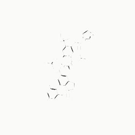 Cc1cc(F)cc(C)c1-c1cc([C@H](CC(=O)O)NC(=O)[C@@H](CC(C)C)n2cc(CCn3ccnc3)c(C(F)(F)F)cc2=O)cc2c1CCC2